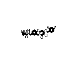 Cc1cc(OCc2ccc(F)cc2F)c(Cl)c(=O)n1Cc1cccc(CNC(=O)C2(O)CC2)c1